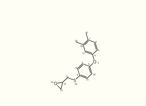 Cc1ccc(Oc2ccc(SCC3CO3)cc2)cc1C